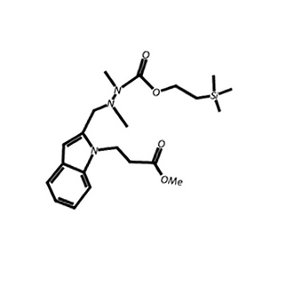 COC(=O)CCn1c(CN(C)N(C)C(=O)OCC[Si](C)(C)C)cc2ccccc21